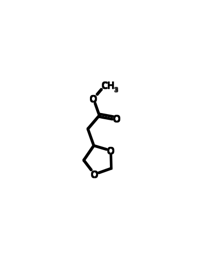 COC(=O)CC1COCO1